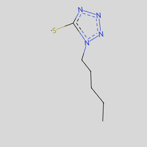 CCCCCn1nnnc1[S]